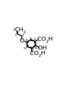 C=CCOc1cc(C(=O)O)c(O)c(C(=O)O)c1